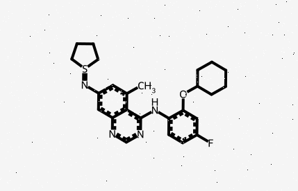 Cc1cc(N=S2CCCC2)cc2ncnc(Nc3ccc(F)cc3OC3CCCCC3)c12